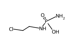 NP(=O)(O)NCCCl